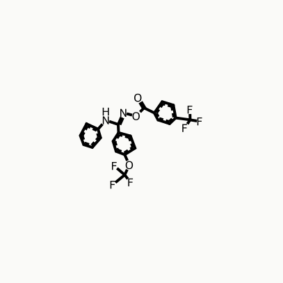 O=C(O/N=C(/Nc1ccccc1)c1ccc(OC(F)(F)F)cc1)c1ccc(C(F)(F)F)cc1